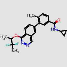 Cc1ccc(C(=O)NC2CC2)cc1-c1ccc2c(OC(C)C(C)(F)F)nncc2c1